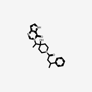 CC(CC(=O)N1CCC(O)(C(C)n2cnc3cc[nH]c3c2=O)CC1)c1ccccc1